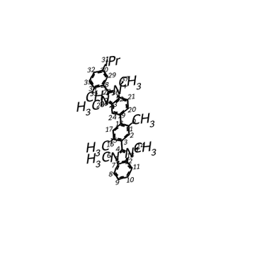 Cc1cc(-c2n(C)c3ccccc3[n+]2C)c(C)cc1-c1ccc2c(c1)n(C)c(-c1cc(C(C)C)ccc1C)[n+]2C